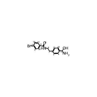 NC(O)c1ccc(CCNC(=O)c2ccc(Br)cc2)cc1